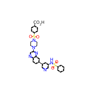 O=C(O)c1ccc(S(=O)(=O)N2CCN(c3cnc4ccc(-c5cncc(NS(=O)(=O)c6ccccc6)c5)cc4n3)CC2)cc1